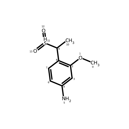 COc1cc(N)ccc1C(C)[SH](=O)=O